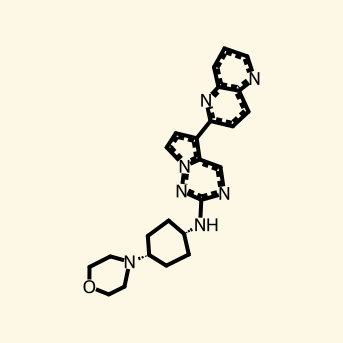 c1cnc2ccc(-c3ccn4nc(N[C@H]5CC[C@@H](N6CCOCC6)CC5)ncc34)nc2c1